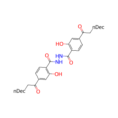 CCCCCCCCCCCC(=O)c1ccc(C(=O)NNC(=O)c2ccc(C(=O)CCCCCCCCCCC)cc2O)c(O)c1